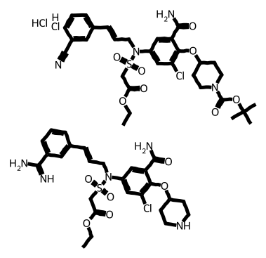 CCOC(=O)CS(=O)(=O)N(C/C=C/c1cccc(C#N)c1)c1cc(Cl)c(OC2CCN(C(=O)OC(C)(C)C)CC2)c(C(N)=O)c1.CCOC(=O)CS(=O)(=O)N(C/C=C/c1cccc(C(=N)N)c1)c1cc(Cl)c(OC2CCNCC2)c(C(N)=O)c1.Cl.Cl